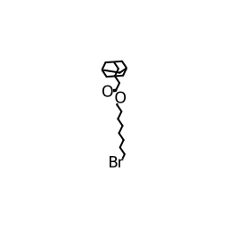 O=C(CC12CC3CC(CC(C3)C1)C2)OCCCCCCCCBr